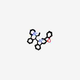 C=CC1C(C2c3ccccc3-c3cc4oc5ccccc5c4c[n+]32)c2ccccc2-c2cccc[n+]21